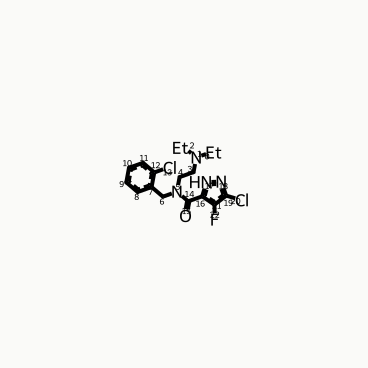 CCN(CC)CCN(Cc1ccccc1Cl)C(=O)c1[nH]nc(Cl)c1F